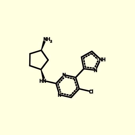 N[C@@H]1CC[C@H](Nc2ncc(Cl)c(-c3cc[nH]n3)n2)C1